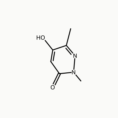 Cc1nn(C)c(=O)cc1O